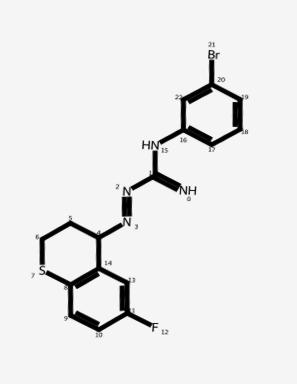 N=C(N=NC1CCSc2ccc(F)cc21)Nc1cccc(Br)c1